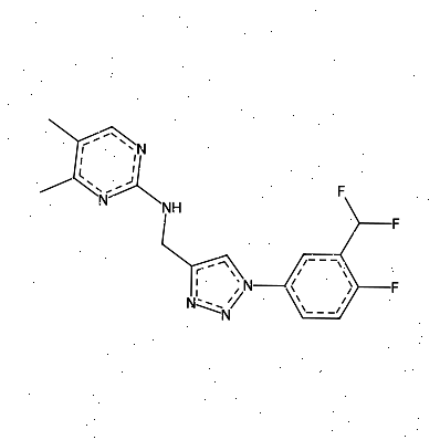 Cc1cnc(NCc2cn(-c3ccc(F)c(C(F)F)c3)nn2)nc1C